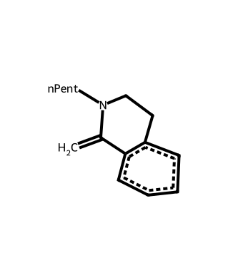 C=C1c2ccccc2CCN1CCCCC